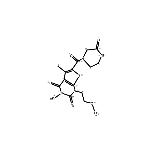 CCCn1c(=O)c2c(C)c(C(=O)N3CCNC(=O)C3)sc2n(CCOC(F)(F)F)c1=O